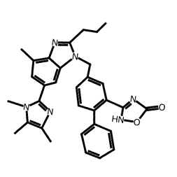 CCCc1nc2c(C)cc(-c3nc(C)c(C)n3C)cc2n1Cc1ccc(-c2ccccc2)c(-c2nc(=O)o[nH]2)c1